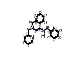 C(=C\N(Cc1ccccn1)Cc1ccccn1)/NCc1ccccn1